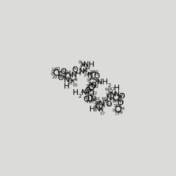 C[C@@H]1CN(CC(=O)N2CC(C)(C)c3[nH]c(=O)c(Oc4ccccc4)cc32)[C@@H](CN2CCOC(C(N)=O)C2Cc2ccc(CC3C(C(N)=O)OCCN3C[C@H]3CN[C@H](C)CN3CC(=O)N3CC(C)(C)c4[nH]c(=O)c(Oc5ccccc5)cc43)cc2)CN1